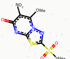 CCCCCCS(=O)(=O)c1nn2c(OC)c([N+](=O)[O-])c(=O)nc2s1